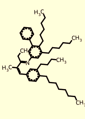 CCCCCCCCc1ccc(C=C(C)C(CC)=Nc2cc(CCCCCC)c(CCCCCC)c(-c3ccccc3)c2)cc1CCCC